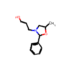 CC1CN(CCCO)C(c2ccccc2)O1